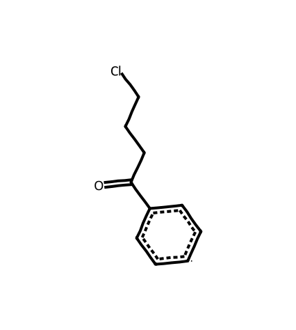 O=C(CCCCl)c1cc[c]cc1